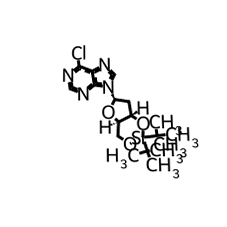 CC(C)(C)[Si]1(C(C)(C)C)OC[C@H]2O[C@@H](n3cnc4c(Cl)ncnc43)C[C@@H]2O1